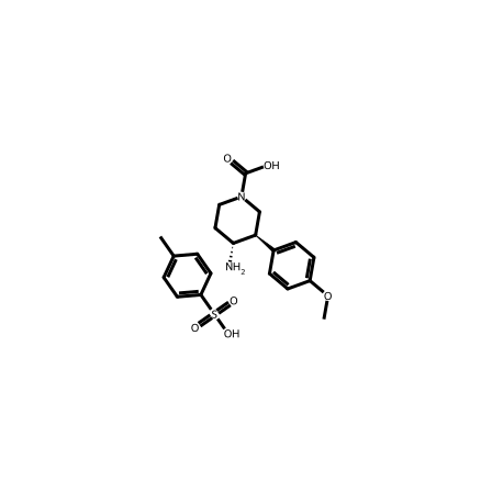 COc1ccc([C@@H]2CN(C(=O)O)CC[C@H]2N)cc1.Cc1ccc(S(=O)(=O)O)cc1